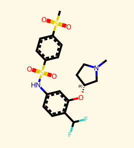 CN1CC[C@@H](Oc2cc(NS(=O)(=O)c3ccc(S(C)(=O)=O)cc3)ccc2C(F)F)C1